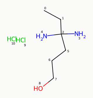 CCC(N)(N)CCCO.Cl.Cl